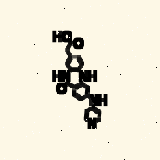 O=C(O)Cc1ccc2c(c1)NC(=O)c1ccc(Nc3ccncc3)cc1N2